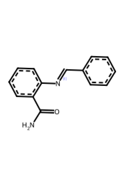 NC(=O)c1ccccc1/N=C/c1ccccc1